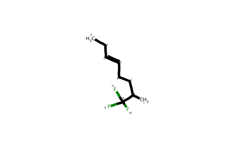 CCC=CCCC(C)C(F)(F)F